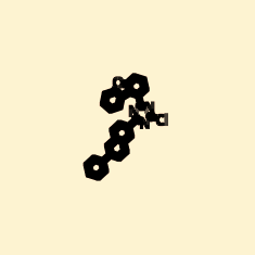 Clc1nc(-c2ccc3cc(-c4ccccc4)ccc3c2)nc(-c2cccc3oc4ccccc4c23)n1